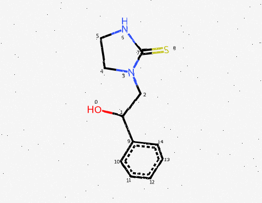 OC(CN1CCNC1=S)c1ccccc1